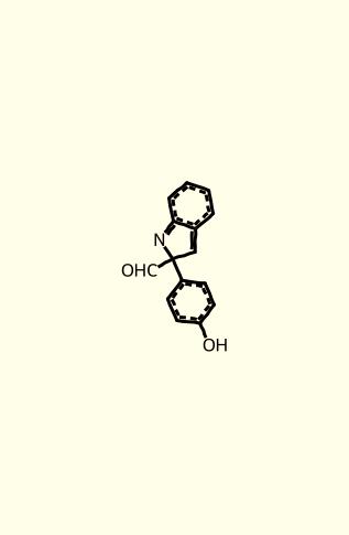 O=CC1(c2ccc(O)cc2)C=c2ccccc2=N1